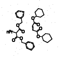 CCCC(C(=O)OCc1ccccc1)C(=O)OCc1ccccc1.O=C(/C=C\C(=O)OC1CCCCC1)OC1CCCCC1